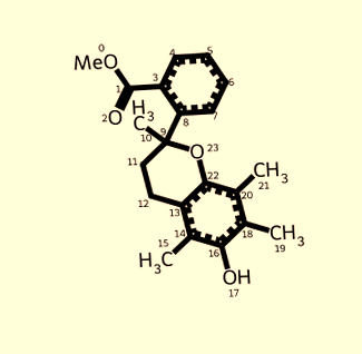 COC(=O)c1ccccc1C1(C)CCc2c(C)c(O)c(C)c(C)c2O1